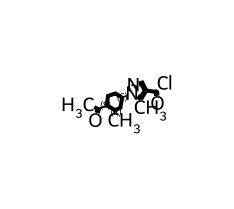 CC(=O)[C@H]1CC[C@H](n2ncc(C(=O)Cl)c2C)C[C@H]1C